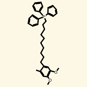 COc1cc(C)c(CCCCCCCCCC[P+](c2ccccc2)(c2ccccc2)c2ccccc2)cc1OC